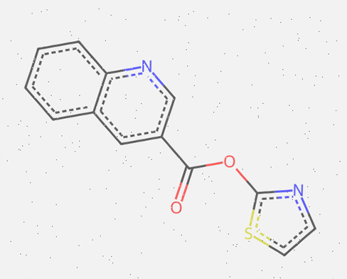 O=C(Oc1nccs1)c1cnc2ccccc2c1